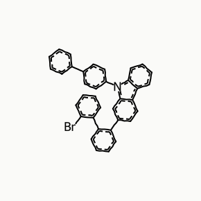 Brc1ccccc1-c1ccccc1-c1ccc2c3ccccc3n(-c3ccc(-c4ccccc4)cc3)c2c1